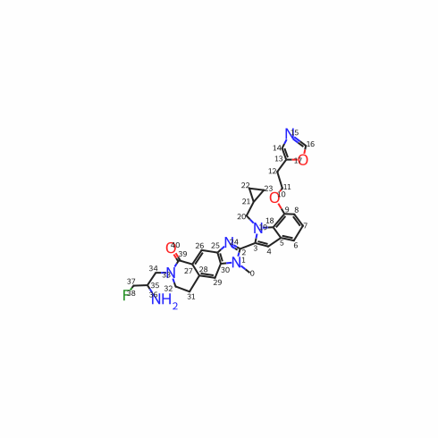 Cn1c(-c2cc3cccc(OCCc4cnco4)c3n2CC2CC2)nc2cc3c(cc21)CCN(CC(N)CF)C3=O